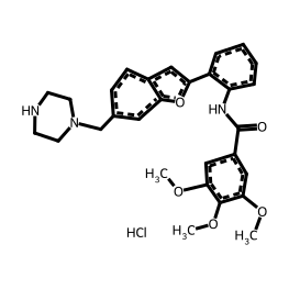 COc1cc(C(=O)Nc2ccccc2-c2cc3ccc(CN4CCNCC4)cc3o2)cc(OC)c1OC.Cl